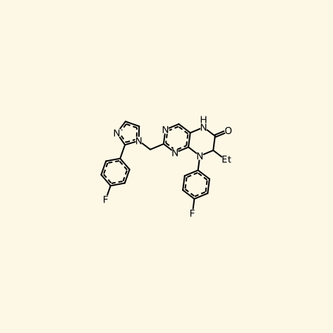 CCC1C(=O)Nc2cnc(Cn3ccnc3-c3ccc(F)cc3)nc2N1c1ccc(F)cc1